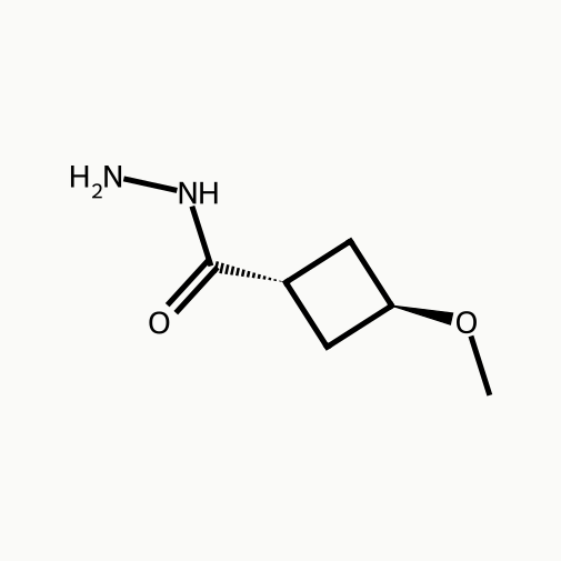 CO[C@H]1C[C@H](C(=O)NN)C1